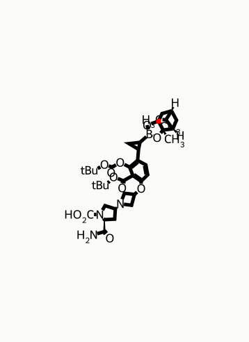 CC(C)(C)OC(=O)Oc1c(C2CC2B2OC3C[C@@H]4C[C@@H](C4(C)C)[C@]3(C)O2)ccc(OC2CN([C@H]3C[C@@H](C(N)=O)N(C(=O)O)C3)C2)c1C(=O)OC(C)(C)C